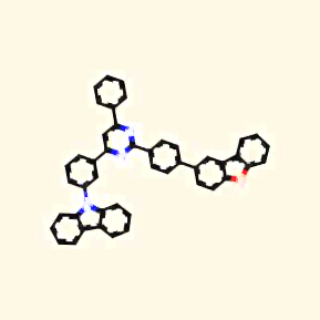 c1ccc(-c2cc(-c3cccc(-n4c5ccccc5c5ccccc54)c3)nc(-c3ccc(-c4ccc5oc6ccccc6c5c4)cc3)n2)cc1